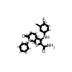 Cc1cc(Nc2c(C(N)=O)sc3c2ccc(=O)n3-c2ccccc2)ccc1F